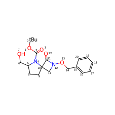 CC(C)(C)OC(=O)N1C(CO)CCC12CN(OCc1ccccc1)C2=O